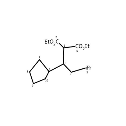 CCOC(=O)C(C(=O)OCC)C(CC(C)C)C1CCCC1